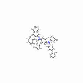 c1ccc(-c2ccc(N(c3ccccc3)c3ccc(-n4c5cc6ccccc6cc5c5c6ccccc6c6ccccc6c54)cc3)cc2)cc1